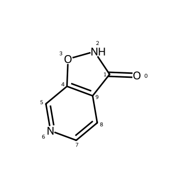 O=c1[nH]oc2cnccc12